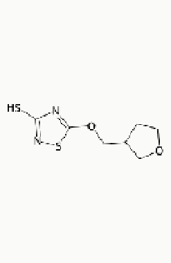 Sc1nsc(OCC2CCOC2)n1